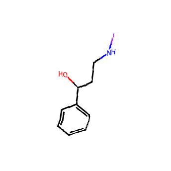 OC(CCNI)c1ccccc1